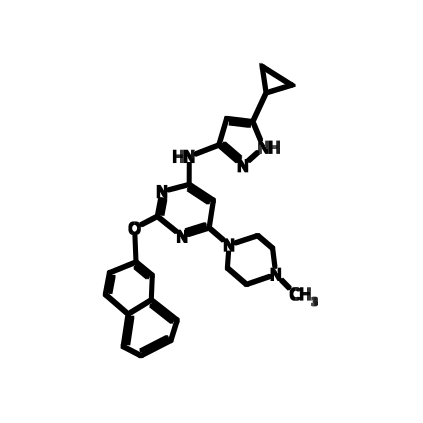 CN1CCN(c2cc(Nc3cc(C4CC4)[nH]n3)nc(Oc3ccc4ccccc4c3)n2)CC1